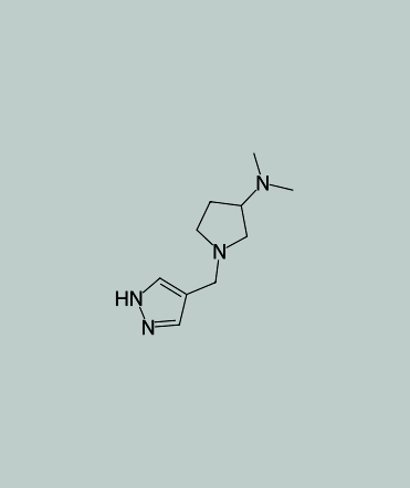 CN(C)C1CCN(Cc2cn[nH]c2)C1